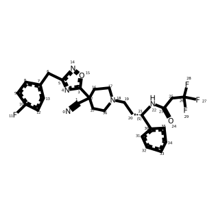 N#CC1(c2nc(Cc3ccc(F)cc3)no2)CCN(CC[C@H](NC(=O)CC(F)(F)F)c2ccccc2)CC1